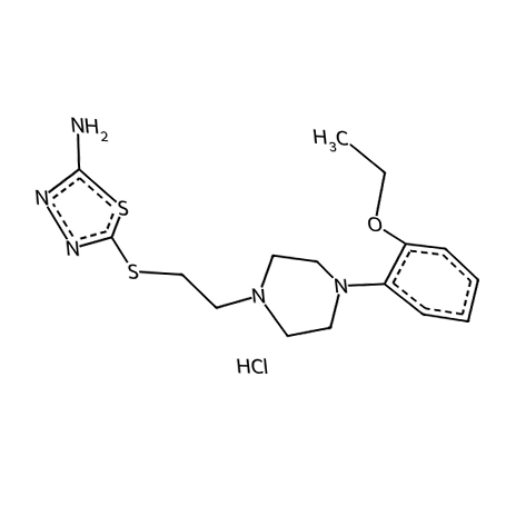 CCOc1ccccc1N1CCN(CCSc2nnc(N)s2)CC1.Cl